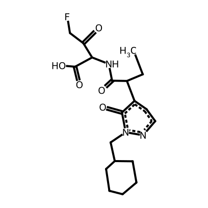 CCC(C(=O)NC(C(=O)O)C(=O)CF)c1ccnn(CC2CCCCC2)c1=O